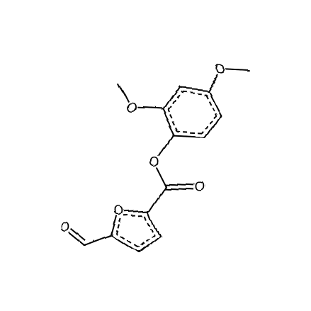 COc1ccc(OC(=O)c2ccc(C=O)o2)c(OC)c1